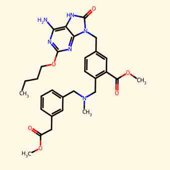 CCCCOc1nc(N)c2[nH]c(=O)n(Cc3ccc(CN(C)Cc4cccc(CC(=O)OC)c4)c(C(=O)OC)c3)c2n1